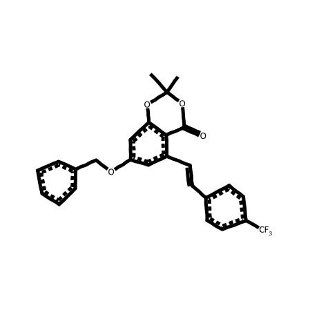 CC1(C)OC(=O)c2c(C=Cc3ccc(C(F)(F)F)cc3)cc(OCc3ccccc3)cc2O1